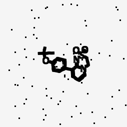 CC(C)(C)Oc1ccc(C2=CC=CN3CCS(=O)(=O)N=C23)cc1